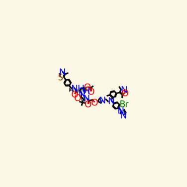 CC(=O)O[C@@H]1C[C@@H](C(=O)N[C@@H](C)c2ccc(-c3scnc3C)cc2)N(C(=O)[C@@H](NC(=O)COC2CN(CCN(c3ccc(-n4ccnc4)c(Br)c3)c3cc(-c4c(C)noc4C)ccc3C)C2)C(C)(C)C)C1